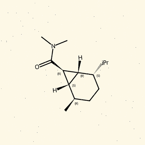 CC(C)[C@@H]1CC[C@@H](C)[C@@H]2[C@@H](C(=O)N(C)C)[C@@H]21